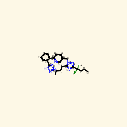 CCCCc1nc(C(F)(F)CCC)nn1Cc1ccc(-c2ccccc2-c2nnn[nH]2)nc1